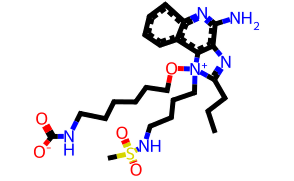 CCCC1=Nc2c(N)nc3ccccc3c2[N+]1(CCCCNS(C)(=O)=O)OCCCCCCNC(=O)[O-]